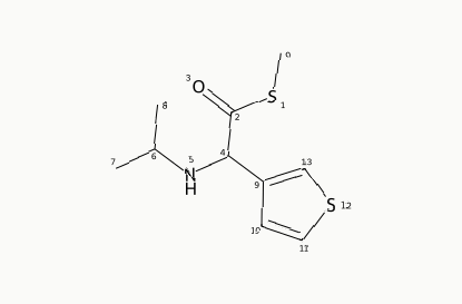 CSC(=O)C(NC(C)C)c1ccsc1